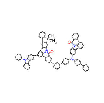 CC1(C)c2ccccc2-c2cc3c4cc(-c5ccc6c(c5)c5ccccc5n6-c5ccccc5)cc5c6ccc(-c7cccc(-c8ccc(N(c9ccc(-c%10ccccc%10)cc9)c9ccc%10c(c9)c9cccc%11c%12ccccc%12c(=O)n%10c%119)cc8)c7)cc6c(=O)n(c3cc21)c54